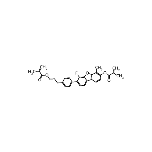 C=C(C)C(=O)OCCCc1ccc(-c2ccc3c(oc4c(C)c(OC(=O)C(=C)C)ccc43)c2F)cc1